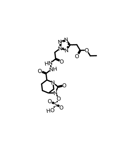 CCOC(=O)Cc1nnn(CC(=O)NNC(=O)C2CCC3CN2C(=O)N3OS(=O)(=O)O)n1